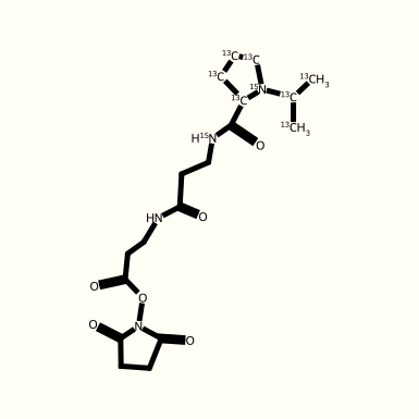 [13CH3][13CH]([13CH3])[15N]1[13CH2][13CH2][13CH2][13CH]1C(=O)[15NH]CCC(=O)NCCC(=O)ON1C(=O)CCC1=O